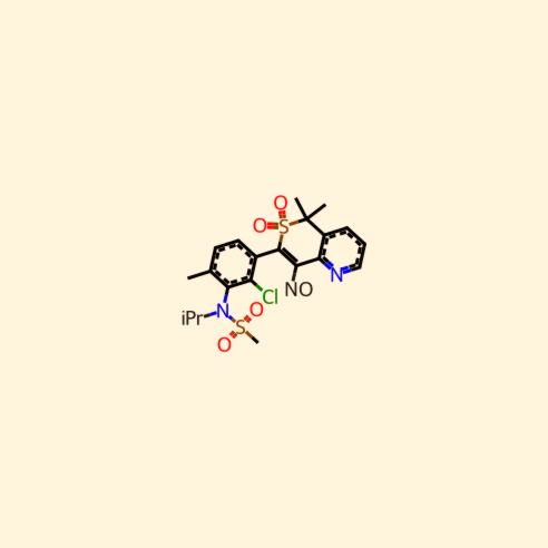 Cc1ccc(C2=C(N=O)c3ncccc3C(C)(C)S2(=O)=O)c(Cl)c1N(C(C)C)S(C)(=O)=O